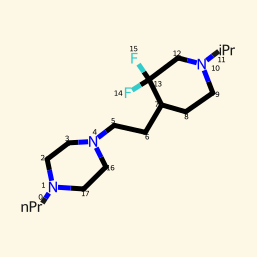 CCCN1CCN(CCC2CCN(C(C)C)CC2(F)F)CC1